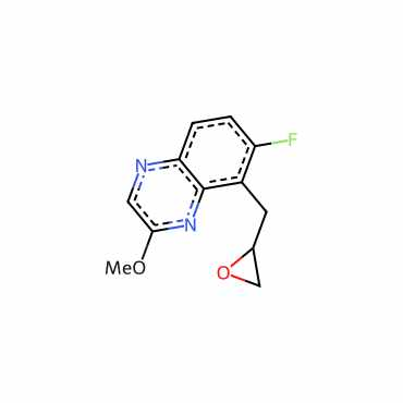 COc1cnc2ccc(F)c(CC3CO3)c2n1